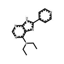 CCN(CC)c1ncnc2[nH]c(-c3ccncc3)nc12